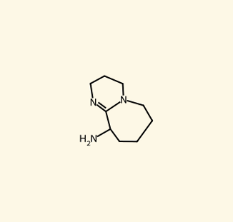 NC1CCCCN2CCCN=C12